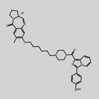 COc1ccc(-c2nc(C(=O)N3CCN(CCCCCCOc4cc5c(cc4C)C(=O)N4CCC[C@H]4C=N5)CC3)c3ccccn23)cc1